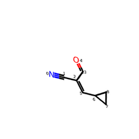 N#CC([C]=O)=CC1CC1